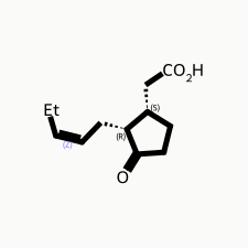 CC/C=C\C[C@H]1C(=O)CC[C@H]1CC(=O)O